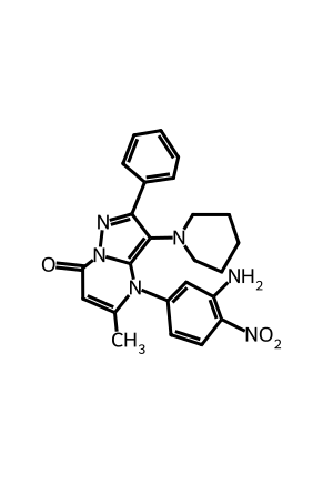 Cc1cc(=O)n2nc(-c3ccccc3)c(N3CCCCC3)c2n1-c1ccc([N+](=O)[O-])c(N)c1